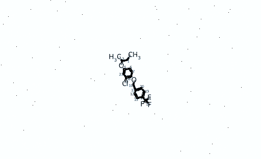 CCC(C)Oc1ccc(OCc2ccc(C(F)(F)F)cc2)c(Cl)c1